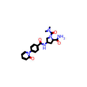 CN(C)C(=O)N1CC(NC(=O)c2ccc(-n3ccccc3=O)cc2)[CH]C1C(N)=O